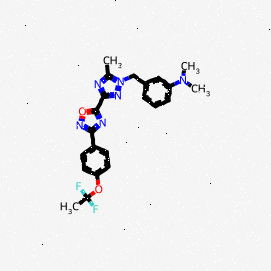 Cc1nc(-c2nc(-c3ccc(OC(C)(F)F)cc3)no2)nn1Cc1cccc(N(C)C)c1